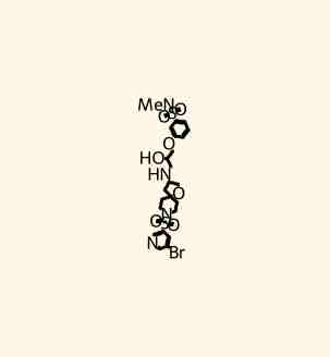 CNS(=O)(=O)c1cccc(OCC(O)CNC2COC3(CCN(S(=O)(=O)c4cncc(Br)c4)CC3)C2)c1